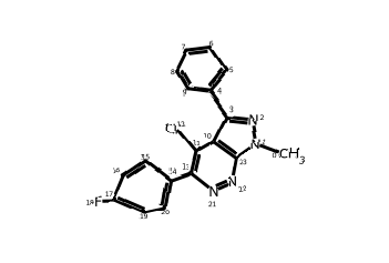 Cn1nc(-c2ccccc2)c2c(Cl)c(-c3ccc(F)cc3)nnc21